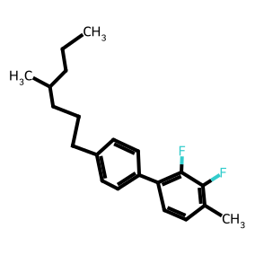 CCCC(C)CCCc1ccc(-c2ccc(C)c(F)c2F)cc1